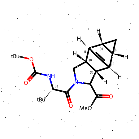 COC(=O)C1[C@H]2[C@H]3C=C[C@@H]([C@H]2CN1C(=O)[C@@H](NC(=O)OC(C)(C)C)C(C)(C)C)[C@@H]1C[C@H]31